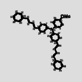 COc1ccc(N(c2ccc(C=CC=Cc3ccccc3)cc2)c2ccc(C=CC=Cc3ccccc3)cc2)cc1